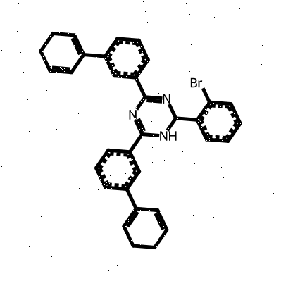 Brc1ccccc1C1N=C(c2cccc(C3=CCCC=C3)c2)N=C(c2cccc(C3=CCCC=C3)c2)N1